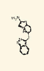 Nc1cn2nc(Sc3nnc4ccccn34)ccc2n1